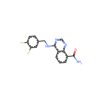 NC(=O)c1cccc2c(NCc3ccc(F)c(F)c3)ncnc12